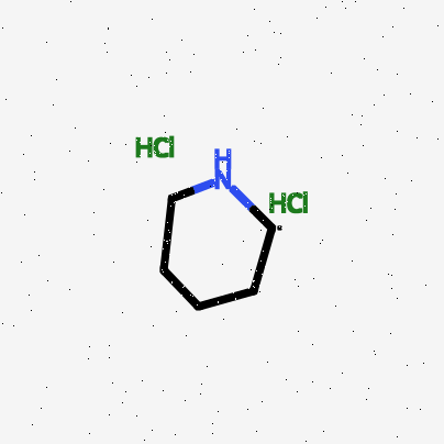 Cl.Cl.[CH]1CCCCN1